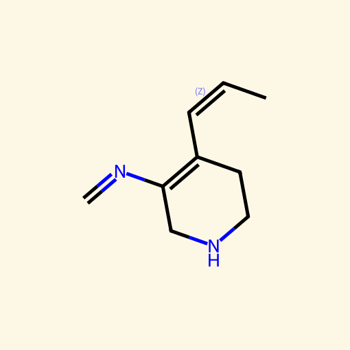 C=NC1=C(/C=C\C)CCNC1